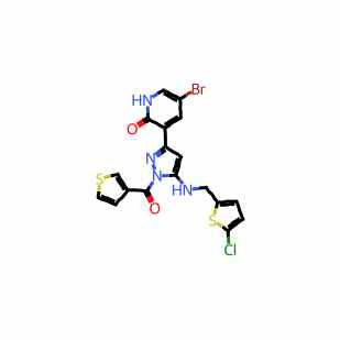 O=C(c1ccsc1)n1nc(-c2cc(Br)c[nH]c2=O)cc1NCc1ccc(Cl)s1